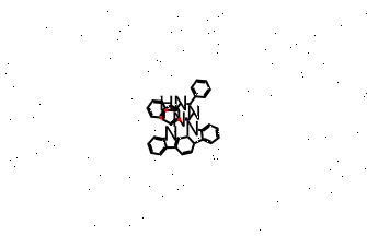 C1=CC2c3ccccc3N(C3=NC(c4ccccc4)NC(c4ccccc4)=N3)C2c2c1c1ccccc1n2-c1ccccc1